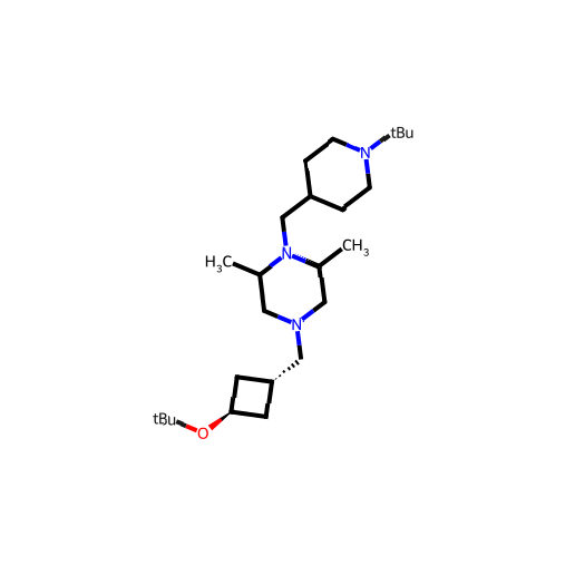 CC1CN(C[C@H]2C[C@H](OC(C)(C)C)C2)CC(C)N1CC1CCN(C(C)(C)C)CC1